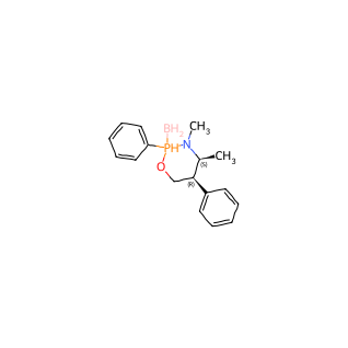 B[PH]1(c2ccccc2)OC[C@H](c2ccccc2)[C@H](C)N1C